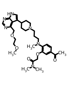 COCCOCc1ncnc2[nH]cc(C3CCN(CCCN(C)c4ccc(C(C)=O)cc4OCC(=O)N(C)C)CC3)c12